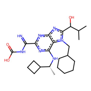 CC(C)C(O)c1nc2nc(C(=N)NC(=O)O)nc(N[C@H](C)C3CCC3)c2n1CC1CCCCC1